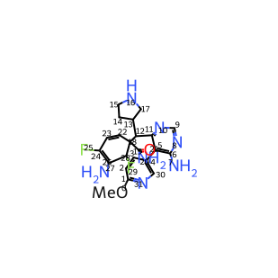 COc1ccc(-c2c(N)ncnc2C(C2CCNC2)C2(C(N)=O)C=CC(F)=C(N)C2F)cn1